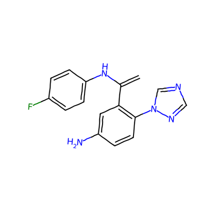 C=C(Nc1ccc(F)cc1)c1cc(N)ccc1-n1cncn1